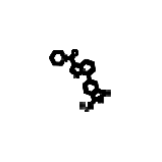 Nc1n[nH]c2cc(-c3cccc4c(C(=O)N5CCCCC5)cnn34)ccc12